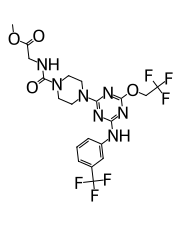 COC(=O)CNC(=O)N1CCN(c2nc(Nc3cccc(C(F)(F)F)c3)nc(OCC(F)(F)F)n2)CC1